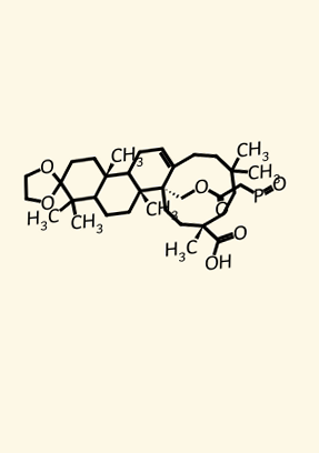 CC1(C)CCC2=CCC3[C@@]4(C)CCC5(OCCO5)C(C)(C)C4CC[C@@]3(C)[C@]2(COC(=O)CP=O)CC[C@@](C)(C(=O)O)CC1